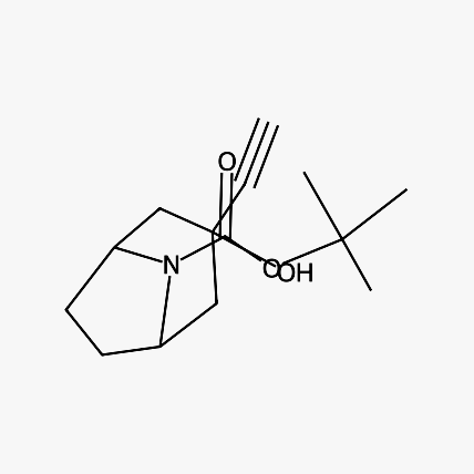 C#CC1(O)CC2CCC(C1)N2C(=O)OC(C)(C)C